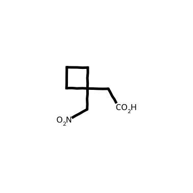 O=C(O)CC1(C[N+](=O)[O-])CCC1